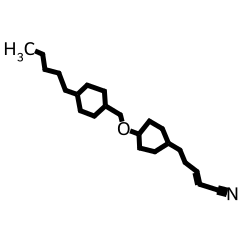 CCCCCC1CCC(COC2CCC(CCC=CC#N)CC2)CC1